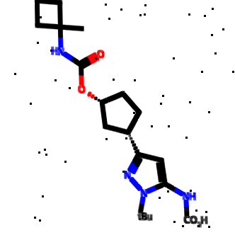 CC1(NC(=O)O[C@@H]2CC[C@H](c3cc(NC(=O)O)n(C(C)(C)C)n3)C2)CCC1